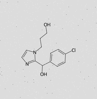 OCCCn1ccnc1C(O)c1ccc(Cl)cc1